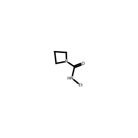 CCNC(=O)N1C[CH]C1